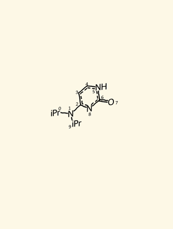 CC(C)N(c1cc[nH]c(=O)n1)C(C)C